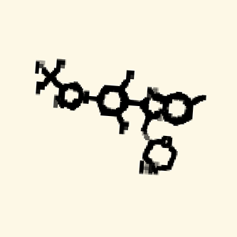 Cc1ccn2c(C[C@H]3CNCCO3)c(-c3c(F)cc(-n4cnc(C(F)(F)F)c4)cc3F)nc2c1